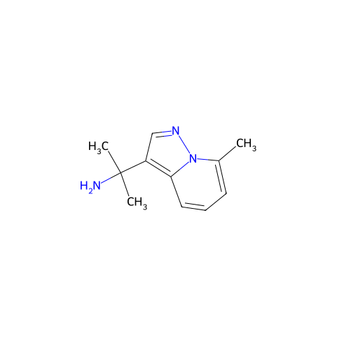 Cc1cccc2c(C(C)(C)N)cnn12